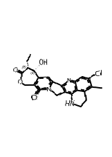 CC[C@H]1C(=O)OCc2c(cc3n(c2=O)Cc2c-3nc3cc(Cl)c(C)c4c3c2NCC4)[C@H]1O